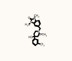 C[C@H]1CC(O)(c2cccc(C(F)(F)F)c2)CCN1Cc1ccc2c(c1)n(C)c(=O)n2C